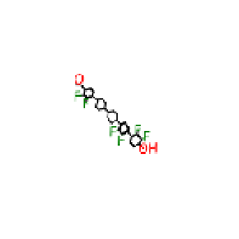 Oc1ccc(-c2ccc(C3CCC(C4CCC(c5ccc(C6CO6)c(F)c5F)CC4)CC3)c(F)c2F)c(F)c1F